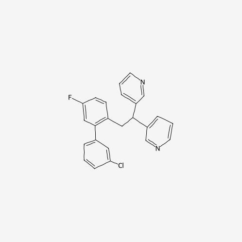 Fc1ccc(CC(c2cccnc2)c2cccnc2)c(-c2cccc(Cl)c2)c1